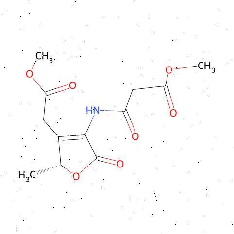 COC(=O)CC(=O)NC1=C(CC(=O)OC)[C@@H](C)OC1=O